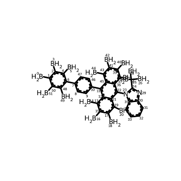 Bc1c(B)c(B)c(-c2ccc(-c3c4c(B)c(B)c(B)c(B)c4c(-n4c(C(B)(B)B)nc5ccccc54)c4c(B)c(B)c(B)c(B)c34)cc2)c(B)c1B